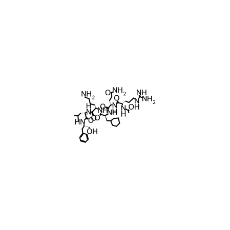 CC(=O)N[C@@H](CCCNC(=N)N)C(=O)N[C@@H](CCC(N)=O)C(=O)N[C@@H](CC1CCCCC1)C(=O)N[C@@H](CCCCN)C(=O)N[C@@H](CC(C)C)C(=O)N[C@H](CO)Cc1ccccc1